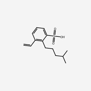 C=Cc1cccc(S(=O)(=O)O)c1CCCC(C)C